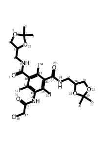 CC1(C)OCC(CNC(=O)c2c(I)c(NC(=O)CCl)c(I)c(C(=O)NCC3COC(C)(C)O3)c2I)O1